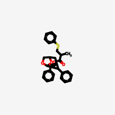 CC(CSc1ccccc1)C(=O)OC12C3OCC(CC1(Cc1ccccc1)C2c1ccccc1)O3